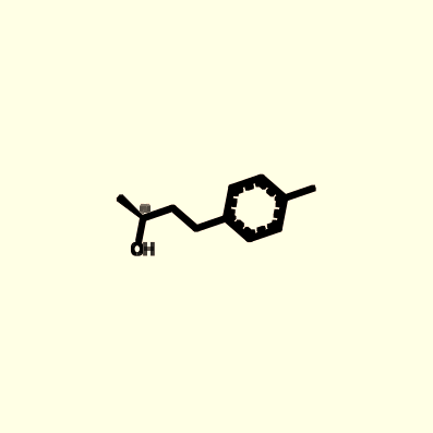 Cc1ccc(CC[C@H](C)O)cc1